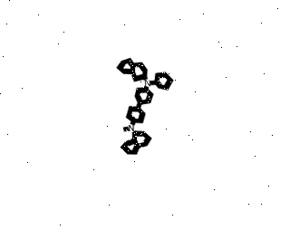 CN(c1ccc(-c2ccc(N(c3ccccc3)c3ccc4ccccc4c3)cc2)cc1)c1cccc2ccccc12